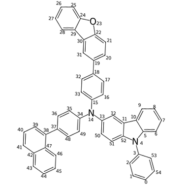 c1ccc(-n2c3ccccc3c3cc(N(c4ccc(-c5ccc6oc7ccccc7c6c5)cc4)c4ccc(-c5cccc6ccccc56)cc4)ccc32)cc1